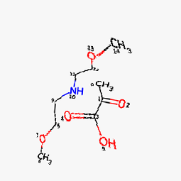 CC(=O)C(=O)O.COCCNCCOC